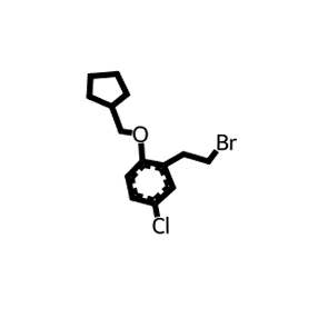 Clc1ccc(OCC2CCCC2)c(CCBr)c1